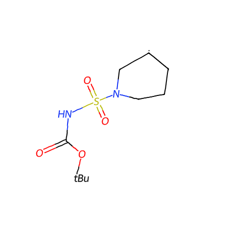 CC(C)(C)OC(=O)NS(=O)(=O)N1C[CH]CCC1